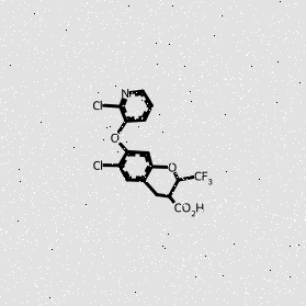 O=C(O)C1Cc2cc(Cl)c(Oc3cccnc3Cl)cc2OC1C(F)(F)F